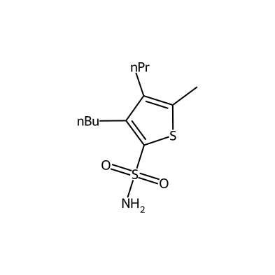 CCCCc1c(S(N)(=O)=O)sc(C)c1CCC